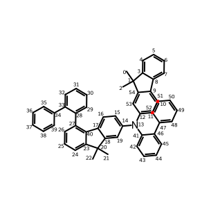 CC1(C)c2ccccc2-c2ccc(N(c3ccc4c(c3)C(C)(C)c3cccc(-c5ccccc5-c5ccccc5)c3-4)c3ccccc3-c3ccccc3)cc21